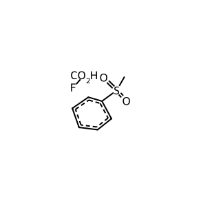 CS(=O)(=O)c1ccccc1.O=C(O)F